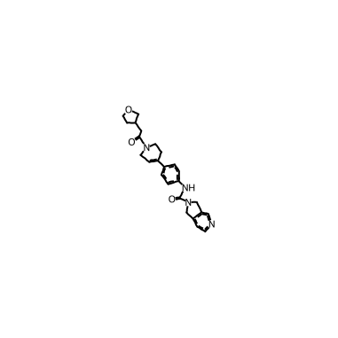 O=C(CC1CCOC1)N1CC=C(c2ccc(NC(=O)N3Cc4ccncc4C3)cc2)CC1